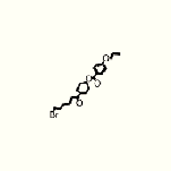 C=CCOc1ccc(C(=O)OC2CCC(C(=O)CCCCCBr)CC2)cc1